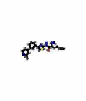 CSCC[C@H](N)C(=O)Nc1nc(-c2cccc(-c3ccnc(C)c3)c2)cs1